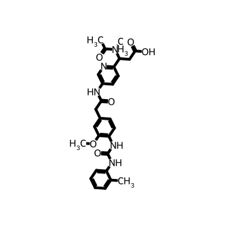 COc1cc(CC(=O)Nc2ccc(C(CC(=O)O)N(C)C(C)=O)nc2)ccc1NC(=O)Nc1ccccc1C